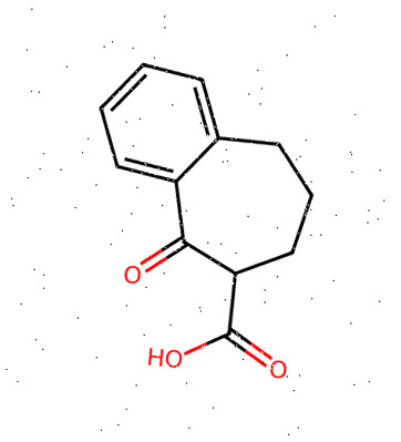 O=C(O)C1CCCc2ccccc2C1=O